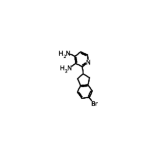 Nc1ccnc(C2Cc3ccc(Br)cc3C2)c1N